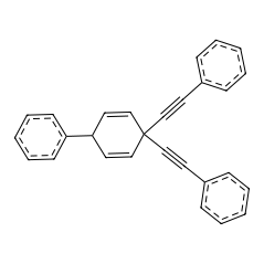 C(#CC1(C#Cc2ccccc2)C=CC(c2ccccc2)C=C1)c1ccccc1